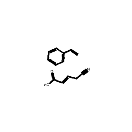 C=Cc1ccccc1.N#CCC=CC(=O)O